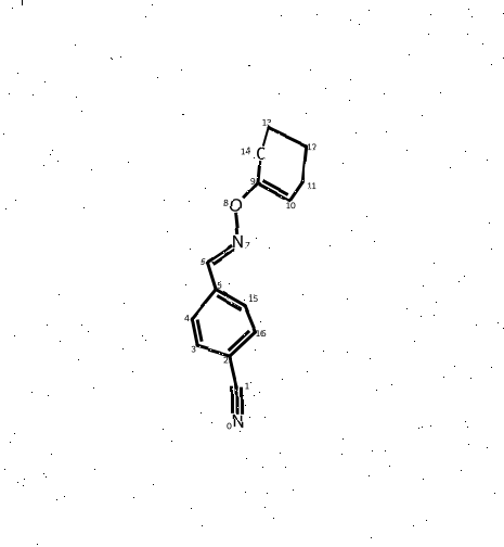 N#Cc1ccc([C]=NOC2=CCCCC2)cc1